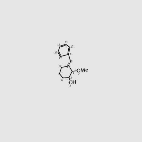 COC1C(O)CCCN1Cc1ccccc1